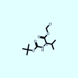 CC(C)[C@@H](NC(=O)OC(C)(C)C)C(=O)OCCl